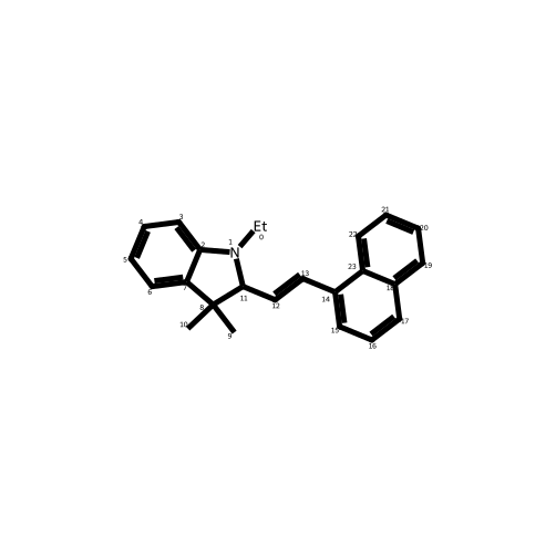 CCN1c2ccccc2C(C)(C)C1C=Cc1cccc2ccccc12